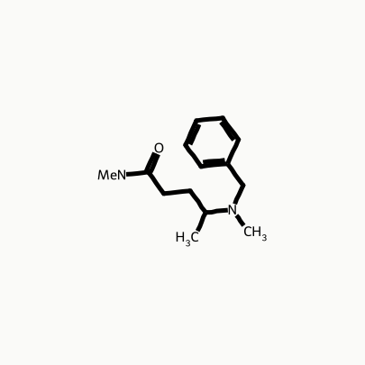 CNC(=O)CCC(C)N(C)Cc1ccccc1